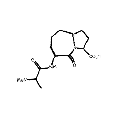 CNC(C)C(=O)NC1CCCN2CCC(C(=O)O)N2C1=O